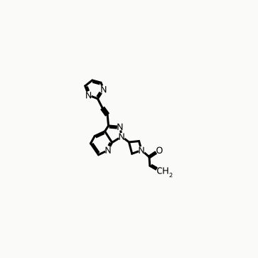 C=CC(=O)N1CC(n2nc(C#Cc3ncccn3)c3cccnc32)C1